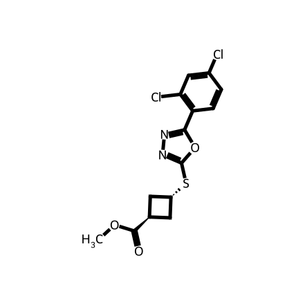 COC(=O)[C@H]1C[C@H](Sc2nnc(-c3ccc(Cl)cc3Cl)o2)C1